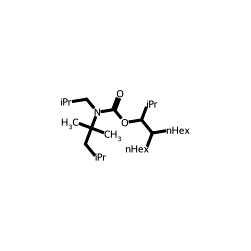 CCCCCCC(CCCCCC)C(OC(=O)N(CC(C)C)C(C)(C)CC(C)C)C(C)C